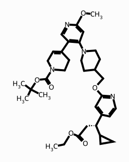 CCOC(=O)C[C@H](c1ccnc(OCC2CCN(c3cc(OC)ncc3C3=CCN(C(=O)OC(C)(C)C)CC3)CC2)c1)C1CC1